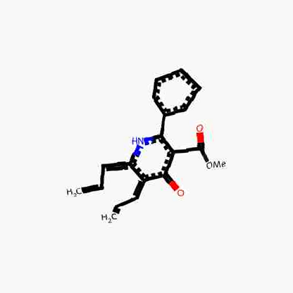 C=C/C=c1/[nH]c(-c2ccccc2)c(C(=O)OC)c(=O)/c1=C/C=C